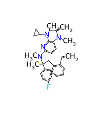 C=Cc1ccccc1CC(C)(c1ccc(F)cc1)N(C)c1ccc2c(n1)N(C1CC1)C(C)C(=C)N2C